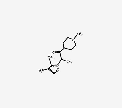 Cc1c(N)cnn1C(C)C(=O)N1CCN(C)CC1